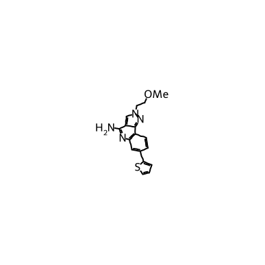 COCCn1cc2c(N)nc3cc(-c4cccs4)ccc3c2n1